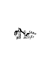 CCOC(=O)[C@@H](CCSC)NC(=O)C1CSC(c2cccnc2)N1.Cl.Cl